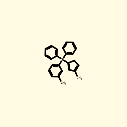 CC1=CCC([Si](c2ccccc2)(c2ccccc2)c2cccc(C)c2)=C1